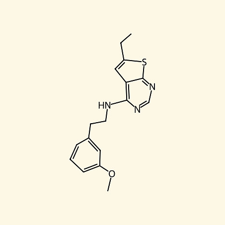 CCc1cc2c(NCCc3cccc(OC)c3)ncnc2s1